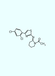 CC(=O)N1CCCC/C1=N\c1nc(-c2ccc(Cl)cc2Cl)cs1